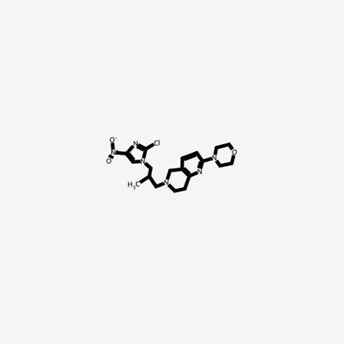 CC(CN1CCc2nc(N3CCOCC3)ccc2C1)Cn1cc([N+](=O)[O-])nc1Cl